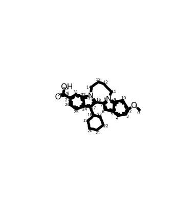 COc1ccc2cc3n(c2c1)CCCCn1c-3c(C2CCCCC2)c2ccc(C(=O)O)cc21